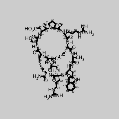 C[C@@H]1NC(=O)C2CCCC[C@H](NC(=O)CN)C(=O)N[C@@H](CSSC[C@@H](C(N)=O)NC(=O)[C@H](CCCNC(=N)N)NC(=O)[C@H](Cc3cc4ccccc4[nH]3)NC1=O)C(=O)N[C@@H](CO)C(=O)N[C@@H](CC(=O)O)C(=O)N1CCCC1C(=O)N[C@@H](CCCNC(=N)N)C(=O)N2